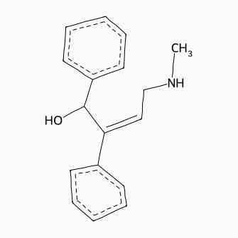 CNC/C=C(/c1ccccc1)C(O)c1ccccc1